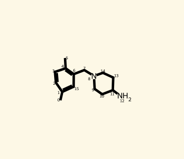 Cc1ccc(C)c(CN2CCC(N)CC2)c1